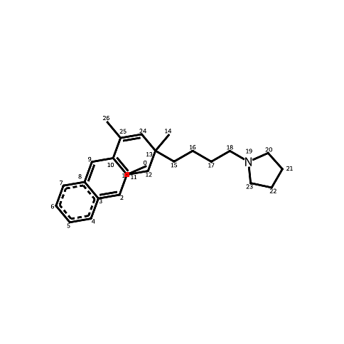 CC/C=c1/cccc/c1=C/C1=CCC(C)(CCCCN2CCCC2)C=C1C